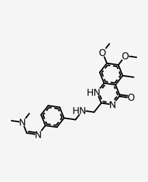 COc1cc2[nH]c(CNCc3cccc(/N=C\N(C)C)c3)nc(=O)c2c(C)c1OC